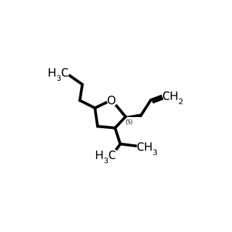 C=CC[C@@H]1OC(CCC)CC1C(C)C